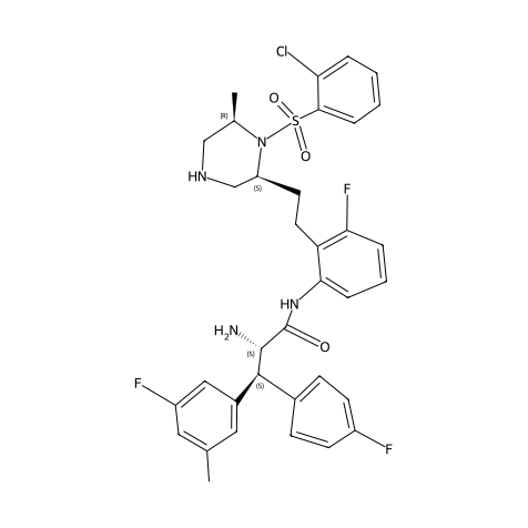 Cc1cc(F)cc([C@H](c2ccc(F)cc2)[C@H](N)C(=O)Nc2cccc(F)c2CC[C@H]2CNC[C@@H](C)N2S(=O)(=O)c2ccccc2Cl)c1